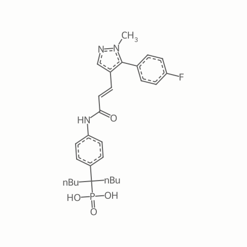 CCCCC(CCCC)(c1ccc(NC(=O)C=Cc2cnn(C)c2-c2ccc(F)cc2)cc1)P(=O)(O)O